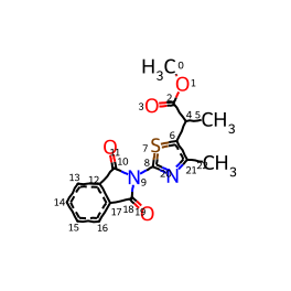 COC(=O)C(C)c1sc(N2C(=O)c3ccccc3C2=O)nc1C